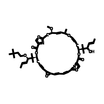 C/C=C/C(O)C(C)(C)[C@@H]1C/C=C\OC(C)/C=C/[C@@H](OC)Cc2nc(co2)C(=O)O[C@@H](C(C)(C)[C@H](/C=C/C)OCCC(C)(C)C)C/C=C\C2OC2/C=C/C=C\c2nc(co2)C(=O)O1